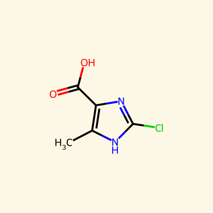 Cc1[nH]c(Cl)nc1C(=O)O